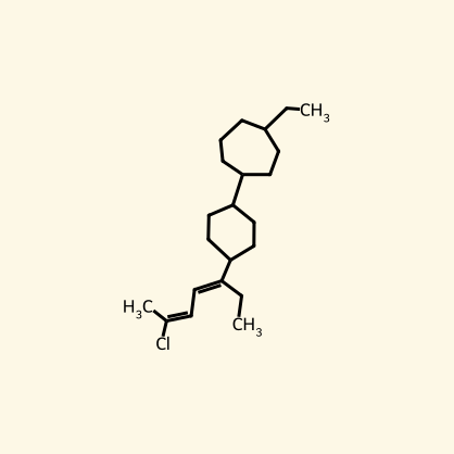 CC/C(=C\C=C(/C)Cl)C1CCC(C2CCCC(CC)CC2)CC1